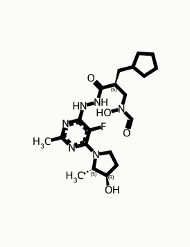 Cc1nc(NNC(=O)[C@@H](CC2CCCC2)CN(O)C=O)c(F)c(N2CC[C@@H](O)[C@@H]2C)n1